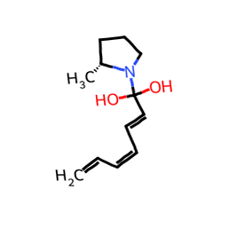 C=C/C=C\C=C\C(O)(O)N1CCC[C@H]1C